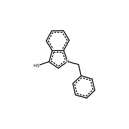 Sc1cn(Cc2ccccc2)c2ccccc12